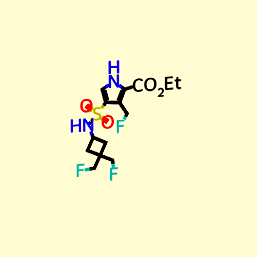 CCOC(=O)c1[nH]cc(S(=O)(=O)NC2CC(CF)(CF)C2)c1CF